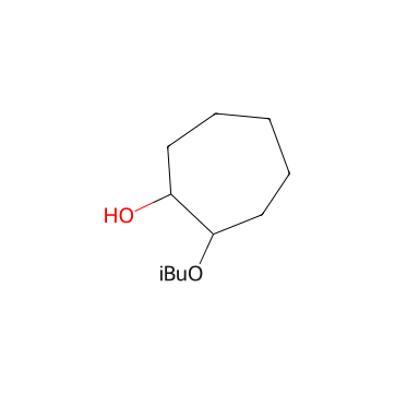 CC(C)COC1CCCCCC1O